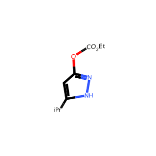 CCOC(=O)Oc1cc(C(C)C)[nH]n1